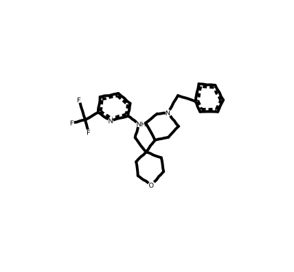 FC(F)(F)c1cccc(NCC2(C3CCN(Cc4ccccc4)CC3)CCOCC2)n1